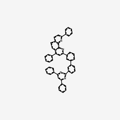 c1ccc(-c2cc(-c3ccccc3)nc(-c3cccc(-c4cccc(-c5cc(-c6ccccc6)c6ccc7ccc(-c8ccccc8)nc7c6n5)c4)c3)n2)cc1